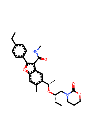 CCc1ccc(-c2oc3cc(C)c([C@H](C)O[C@@H](CC)CN4CCCOC4=O)cc3c2C(=O)NC)cc1